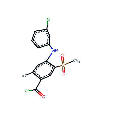 CCc1cc(Nc2cccc(Cl)c2)c(S(C)(=O)=O)cc1C(=O)Cl